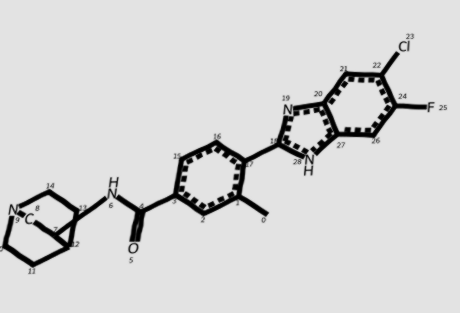 Cc1cc(C(=O)NC2CN3CCC2CC3)ccc1-c1nc2cc(Cl)c(F)cc2[nH]1